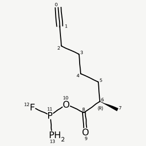 C#CCCCC[C@@H](C)C(=O)OP(F)P